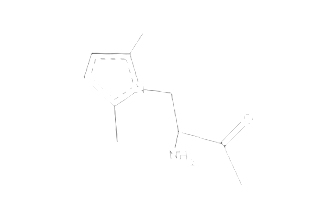 CC(=O)C(N)Cn1c(C)ccc1C